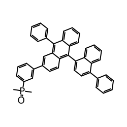 CP(C)(=O)c1cccc(-c2ccc3c(-c4ccc(-c5ccccc5)c5ccccc45)c4ccccc4c(-c4ccccc4)c3c2)c1